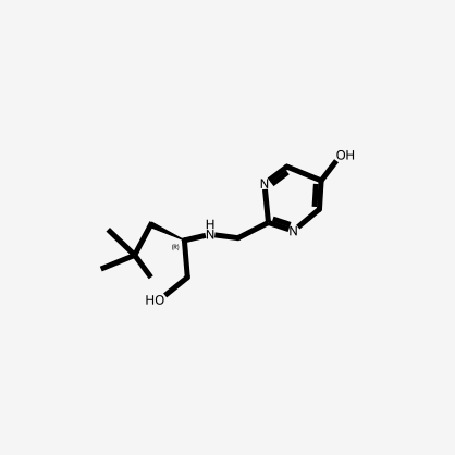 CC(C)(C)C[C@H](CO)NCc1ncc(O)cn1